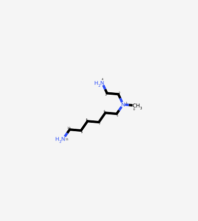 CN(CCN)CCCCCCN